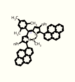 CCCC1=C/C(=C(\c2c(C)cc(C)cc2C)c2cc(CCC)c(-c3ccc4ccc5cccc6ccc3c4c56)n2B(C)F)N=C1c1ccc2ccc3cccc4ccc1c2c34